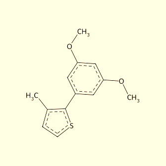 COc1cc(OC)cc(-c2sccc2C)c1